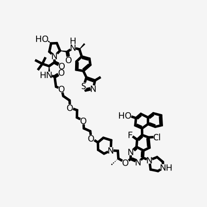 Cc1ncsc1-c1ccc([C@H](C)NC(=O)[C@@H]2C[C@@H](O)CN2C(=O)[C@@H](NC(=O)COCCOCCOCCOC2CCN(C[C@@H](C)Oc3nc(N4CCNCC4)c4cc(Cl)c(-c5cc(O)cc6ccccc56)c(F)c4n3)CC2)C(C)(C)C)cc1